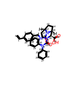 C=Cc1ccc(CN(C)C(=O)N2[C@H]3CC[C@@H]2[C@@H](C(=O)O)N(C(=O)N(c2ccccc2)c2ccccc2)CC3)cc1